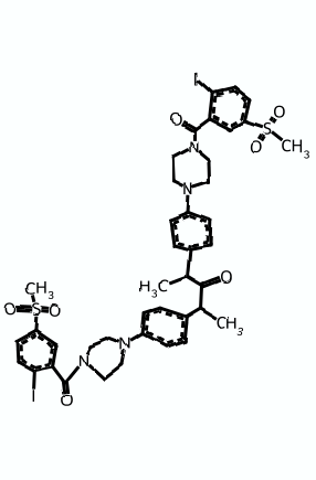 CC(C(=O)C(C)c1ccc(N2CCN(C(=O)c3cc(S(C)(=O)=O)ccc3I)CC2)cc1)c1ccc(N2CCN(C(=O)c3cc(S(C)(=O)=O)ccc3I)CC2)cc1